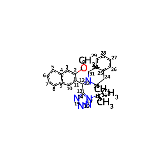 COc1cc2ccccc2cc1C(c1nnnn1C(C)(C)C)N1CCc2ccccc2C1